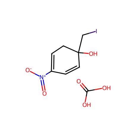 O=C(O)O.O=[N+]([O-])C1=CCC(O)(CI)C=C1